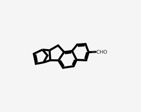 O=Cc1ccc2c3c(ccc2c1)C1C2C=CC(C2)C1C3